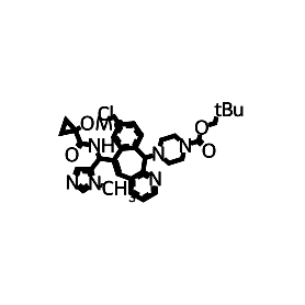 COC1(C(=O)NC(C2=Cc3cccnc3C(N3CCN(C(=O)OCC(C)(C)C)CC3)c3ccc(Cl)cc32)c2cncn2C)CC1